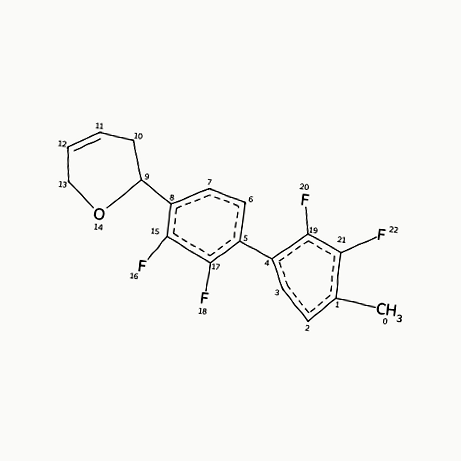 Cc1ccc(-c2ccc(C3CC=CCO3)c(F)c2F)c(F)c1F